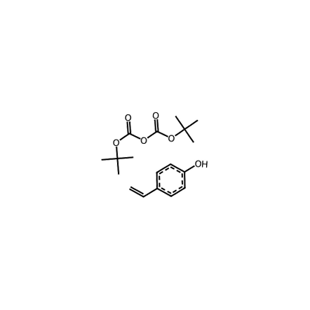 C=Cc1ccc(O)cc1.CC(C)(C)OC(=O)OC(=O)OC(C)(C)C